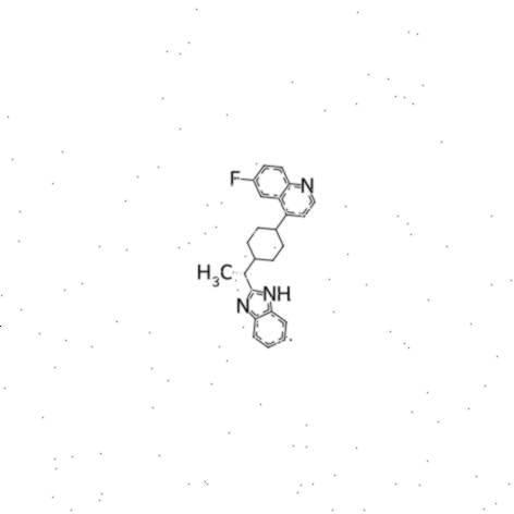 C[C@@H](c1nc2cc[c]cc2[nH]1)C1CCC(c2ccnc3ccc(F)cc23)CC1